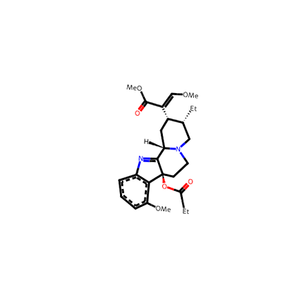 CCC(=O)O[C@]12CCN3C[C@@H](CC)[C@@H](/C(=C\OC)C(=O)OC)C[C@H]3C1=Nc1cccc(OC)c12